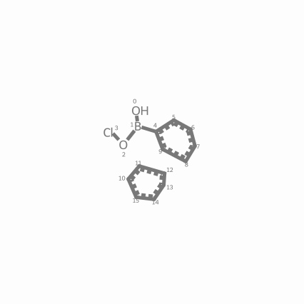 OB(OCl)c1ccccc1.c1ccccc1